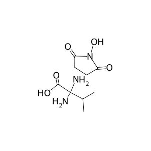 CC(C)C(N)(N)C(=O)O.O=C1CCC(=O)N1O